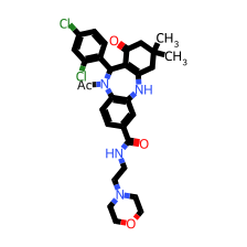 CC(=O)N1c2ccc(C(=O)NCCN3CCOCC3)cc2NC2=C(C(=O)CC(C)(C)C2)C1c1ccc(Cl)cc1Cl